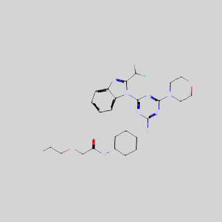 COCCOCC(=O)N[C@H]1CC[C@H](Nc2nc(N3CCOCC3)nc(-n3c(C(F)F)nc4ccccc43)n2)CC1